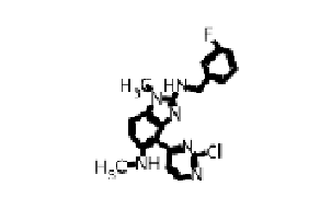 CNc1ccc2c(nc(NCc3cccc(F)c3)n2C)c1-c1ccnc(Cl)n1